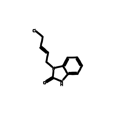 O=c1[nH]c2ccccc2n1CC=CCCl